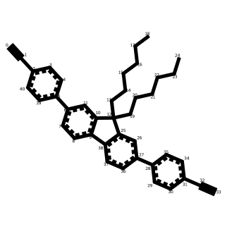 C#Cc1ccc(-c2ccc3c(c2)C(CCCCCC)(CCCCCC)c2cc(-c4ccc(C#C)cc4)ccc2-3)cc1